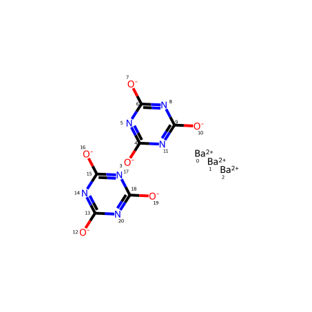 [Ba+2].[Ba+2].[Ba+2].[O-]c1nc([O-])nc([O-])n1.[O-]c1nc([O-])nc([O-])n1